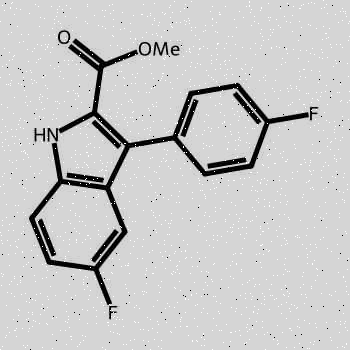 COC(=O)c1[nH]c2ccc(F)cc2c1-c1ccc(F)cc1